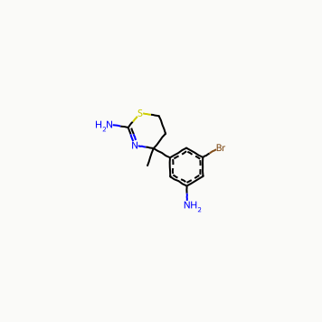 CC1(c2cc(N)cc(Br)c2)CCSC(N)=N1